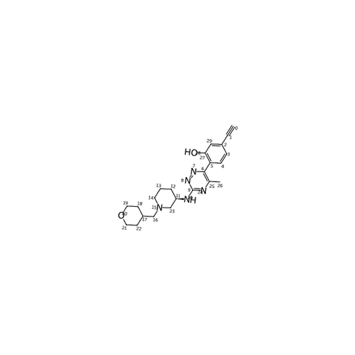 C#Cc1ccc(-c2nnc(N[C@@H]3CCCN(CC4CCOCC4)C3)nc2C)c(O)c1